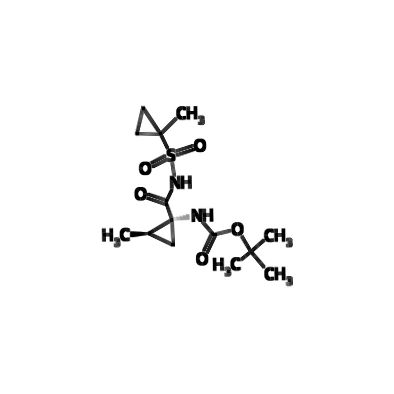 C[C@@H]1C[C@]1(NC(=O)OC(C)(C)C)C(=O)NS(=O)(=O)C1(C)CC1